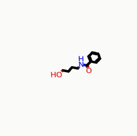 O=C(NCCCCO)c1ccccc1